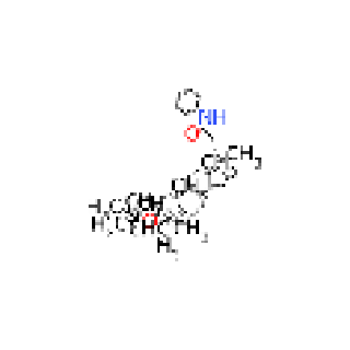 C[C@H](CCC(=O)Nc1ccccc1)[C@H]1CC=C2C3=C(CC[C@@]21C)[C@@]1(C)CC[C@H](O[Si](C)(C)C(C)(C)C)C(C)(C)[C@@H]1CC3